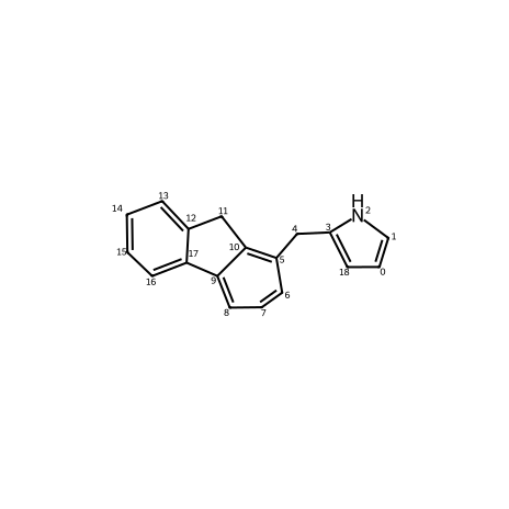 c1c[nH]c(Cc2cccc3c2Cc2ccccc2-3)c1